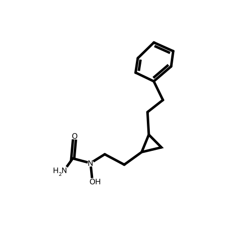 NC(=O)N(O)CCC1CC1CCc1ccccc1